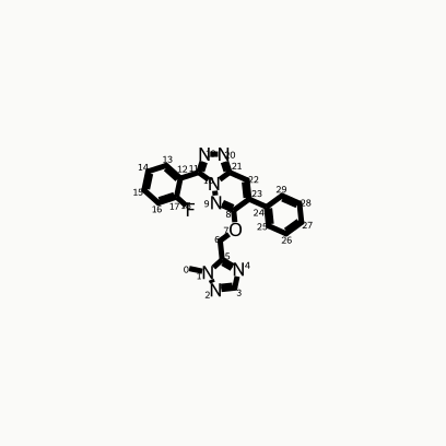 Cn1ncnc1COc1nn2c(-c3ccccc3F)nnc2cc1-c1ccccc1